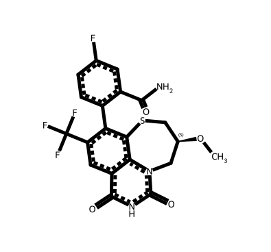 CO[C@@H]1CSc2c(-c3ccc(F)cc3C(N)=O)c(C(F)(F)F)cc3c(=O)[nH]c(=O)n(c23)C1